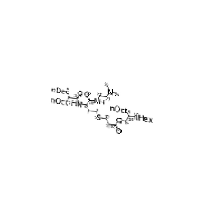 CCCCCCCCCCC(CCCCCCCC)C(=O)NC(CCSCCC(=O)OCC(CCCCCC)CCCCCCCC)C(=O)NCCN(C)C